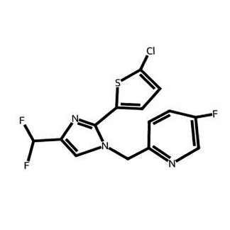 Fc1ccc(Cn2cc(C(F)F)nc2-c2ccc(Cl)s2)nc1